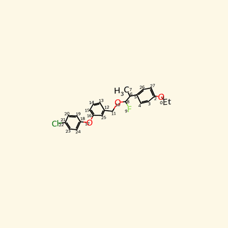 CCOc1ccc(C(C)C(F)OCc2cccc(Oc3ccc(Cl)cc3)c2)cc1